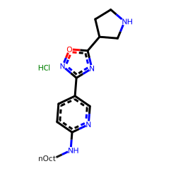 CCCCCCCCNc1ccc(-c2noc(C3CCNC3)n2)cn1.Cl